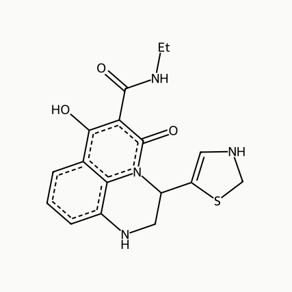 CCNC(=O)c1c(O)c2cccc3c2n(c1=O)C(C1=CNCS1)CN3